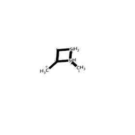 CC1C[SiH2][SiH]1C